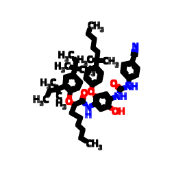 CCCCCCC(Oc1ccc(C(C)(C)CC)cc1C(C)(C)CC)C(=O)Nc1cc(O)c(NC(=O)Nc2ccc(C#N)cc2)cc1Oc1ccc(C(C)(C)CCCCC)cc1